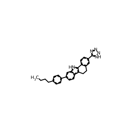 CCCCc1ccc(-c2ccc3c4c([nH]c3c2)-c2ccc(-c3nnn[nH]3)cc2CC4)cc1